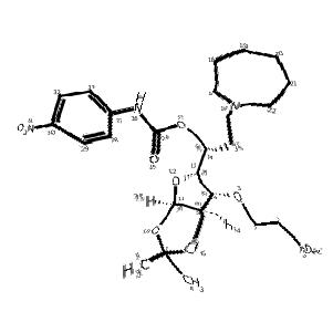 CCCCCCCCCCCCO[C@@H]1[C@H]2OC(C)(C)O[C@H]2O[C@@H]1[C@@H](CN1CCCCCC1)OC(=O)Nc1ccc([N+](=O)[O-])cc1